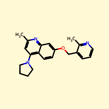 Cc1cc(N2CCCC2)c2ccc(OCc3cccnc3C)cc2n1